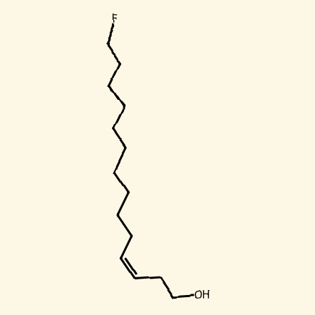 OCC/C=C\CCCCCCCCCCF